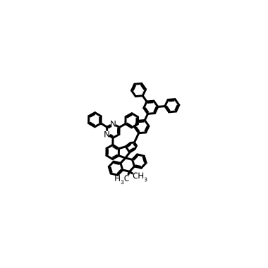 CC1(C)c2ccccc2C2(c3ccc(-c4ccc(-c5cc(-c6ccccc6)cc(C6C=CC=CC6)c5)cc4)cc3-c3c(-c4cc(-c5ccccc5)nc(-c5ccccc5)n4)cccc32)c2ccccc21